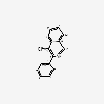 Clc1c(-c2ccccc2)ncc2ccccc12